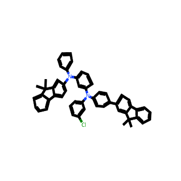 CC1(C)c2ccccc2-c2ccc(-c3ccc(N(c4cccc(Cl)c4)c4cccc(N(c5ccccc5)c5ccc6c(c5)C(C)(C)c5ccccc5-6)c4)cc3)cc21